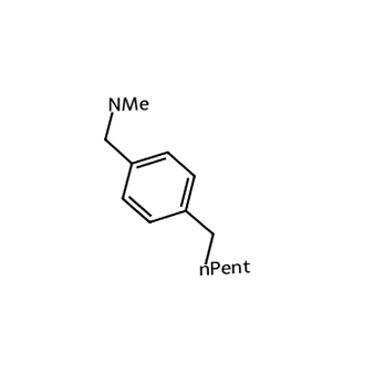 CCCCCCc1ccc(CNC)cc1